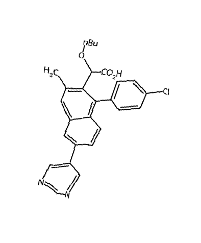 CCCCOC(C(=O)O)c1c(C)cc2cc(-c3cncnc3)ccc2c1-c1ccc(Cl)cc1